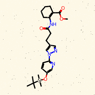 COC(=O)C1=C(NC(=O)CCc2cnn(-c3ccc(O[Si](C)(C)C(C)(C)C)cn3)c2)CCCC1